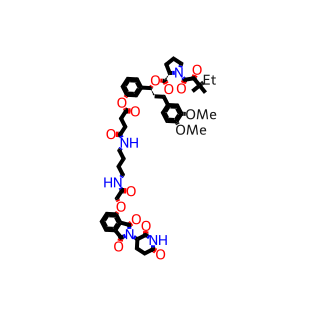 CCC(C)(C)C(=O)C(=O)N1CCC[C@H]1C(=O)O[C@H](CCc1ccc(OC)c(OC)c1)c1cccc(OC(=O)CCC(=O)NCCCCNC(=O)COc2cccc3c2C(=O)N(C2CCC(=O)NC2=O)C3=O)c1